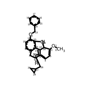 COC1=CC=C2[C@H]3Cc4ccc(OCc5ccccc5)c5c4[C@@]2(CCN3CC2CC2)[C@H]1O5